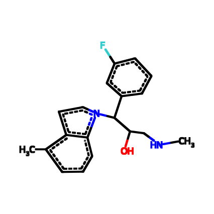 CNCC(O)C(c1cccc(F)c1)n1ccc2c(C)cccc21